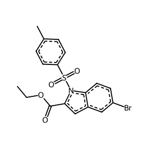 CCOC(=O)c1cc2cc(Br)ccc2n1S(=O)(=O)c1ccc(C)cc1